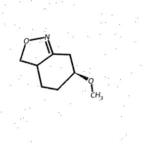 CO[C@H]1CCC2CON=C2C1